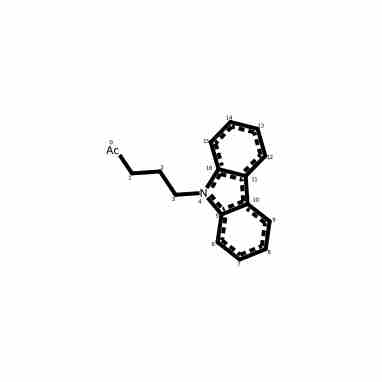 CC(=O)CCCn1c2ccccc2c2ccccc21